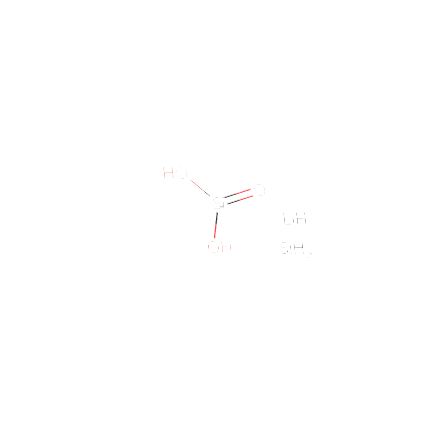 O=[Si](O)O.[LiH].[SiH4]